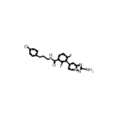 Nc1nc2cc(-c3c(F)ccc(C(=O)NCCCc4ccc(Cl)cc4)c3F)ccn2n1